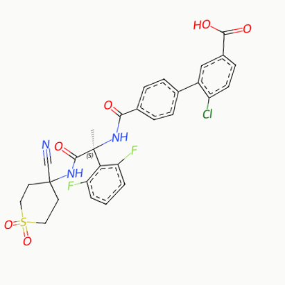 C[C@@](NC(=O)c1ccc(-c2cc(C(=O)O)ccc2Cl)cc1)(C(=O)NC1(C#N)CCS(=O)(=O)CC1)c1c(F)cccc1F